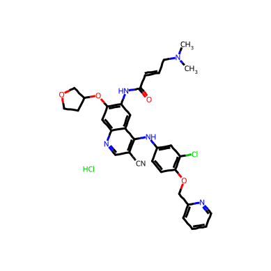 CN(C)CC=CC(=O)Nc1cc2c(Nc3ccc(OCc4ccccn4)c(Cl)c3)c(C#N)cnc2cc1OC1CCOC1.Cl